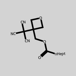 CCCCCCCC(=O)OCC1(C(C#N)(C#N)C#N)COC1